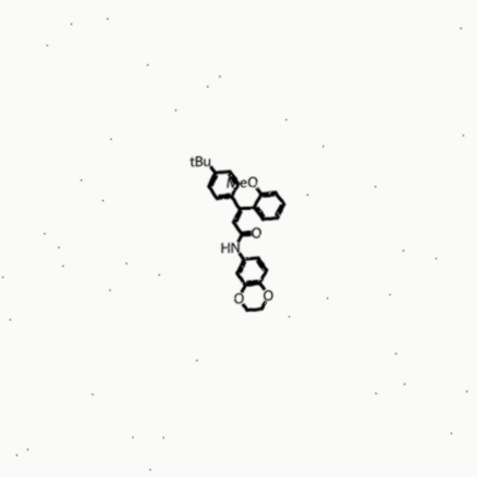 COc1ccccc1/C(=C\C(=O)Nc1ccc2c(c1)OCCO2)c1ccc(C(C)(C)C)cc1